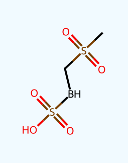 CS(=O)(=O)CBS(=O)(=O)O